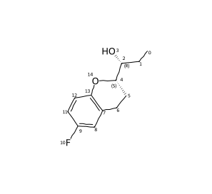 CC[C@@H](O)[C@@H]1CCc2cc(F)ccc2O1